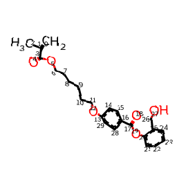 C=C(C)C(=O)OCCCCCCOc1ccc(C(=O)Oc2ccccc2CO)cc1